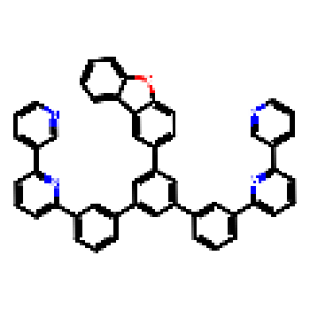 c1cncc(-c2cccc(-c3cccc(-c4cc(-c5cccc(-c6cccc(-c7cccnc7)n6)c5)cc(-c5ccc6oc7ccccc7c6c5)c4)c3)n2)c1